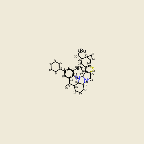 CC(C)c1cc(C2=CCCCC2)cc2c1N1C3C(CCCC3N3Cc4sc5c(c4C31)CC(CC(C)(C)C)C1CC51)C2C